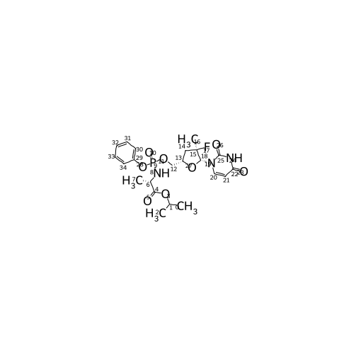 CC(C)OC(=O)[C@H](C)N[P@](=O)(OC[C@@H]1C[C@@](C)(F)[C@H](n2ccc(=O)[nH]c2=O)O1)Oc1ccccc1